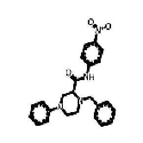 O=C(Nc1ccc([N+](=O)[O-])cc1)C1CN(c2ccccc2)CCN1Cc1ccccc1